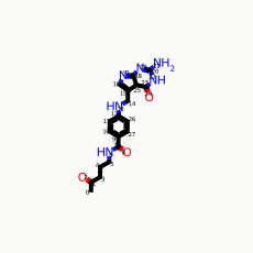 CC(=O)CCCNC(=O)c1ccc(NCC2=CN=C3N=C(N)NC(=O)C23)cc1